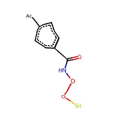 CC(=O)c1ccc(C(=O)NOOS)cc1